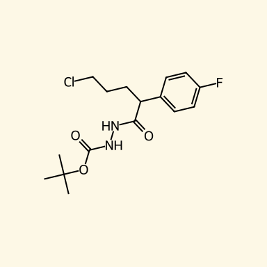 CC(C)(C)OC(=O)NNC(=O)C(CCCCl)c1ccc(F)cc1